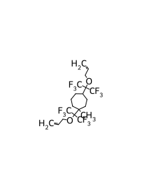 C=CCOC(C1CCCC(C)(C(OCC=C)(C(F)(F)F)C(F)(F)F)CC1)(C(F)(F)F)C(F)(F)F